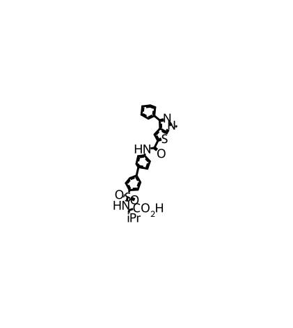 CC(C)C(NS(=O)(=O)c1ccc(-c2ccc(NC(=O)c3cc4c(-c5ccccc5)nn(C)c4s3)cc2)cc1)C(=O)O